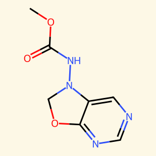 COC(=O)NN1COc2ncncc21